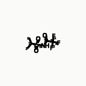 CC(C)S(=O)(=O)NC(=O)C(F)(F)F